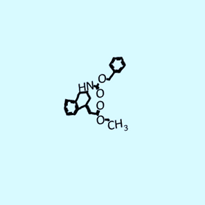 CCOC(=O)C=C1CC(NC(=O)OCc2ccccc2)Cc2ccccc21